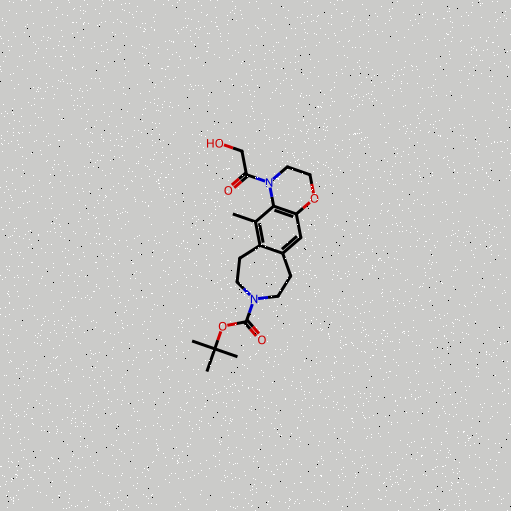 Cc1c2c(cc3c1N(C(=O)CO)CCO3)CCN(C(=O)OC(C)(C)C)CC2